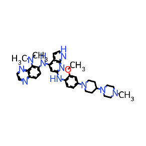 COc1cc(N2CCC(N3CCN(C)CC3)CC2)ccc1Nc1cc(Nc2ccc3nccnc3c2N(C)C)c2cc[nH]c2n1